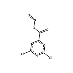 O=NOC(=O)c1cc(Cl)nc(Cl)c1